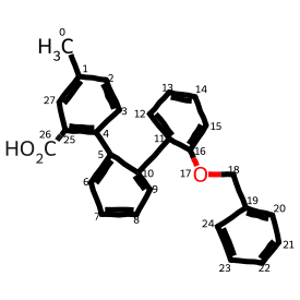 Cc1ccc(-c2ccccc2-c2ccccc2OCc2ccccc2)c(C(=O)O)c1